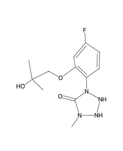 CN1NNN(c2ccc(F)cc2OCC(C)(C)O)C1=O